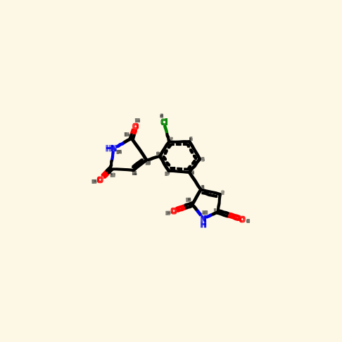 O=C1C=C(c2ccc(Cl)c(C3=CC(=O)NC3=O)c2)C(=O)N1